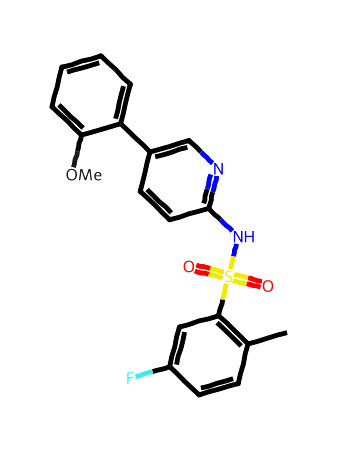 COc1ccccc1-c1ccc(NS(=O)(=O)c2cc(F)ccc2C)nc1